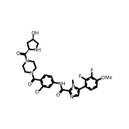 COc1ccc(-c2cnc(C(=O)Nc3ccc(C(=O)N4CCN(C(=O)[C@H]5C[C@@H](O)CN5)CC4)c(Cl)c3)n2C)c(F)c1F